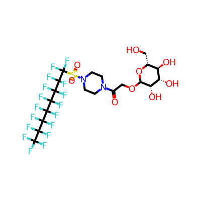 O=C(COC1O[C@H](CO)[C@@H](O)[C@H](O)[C@@H]1O)N1CCN(S(=O)(=O)C(F)(F)C(F)(F)C(F)(F)C(F)(F)C(F)(F)C(F)(F)C(F)(F)C(F)(F)F)CC1